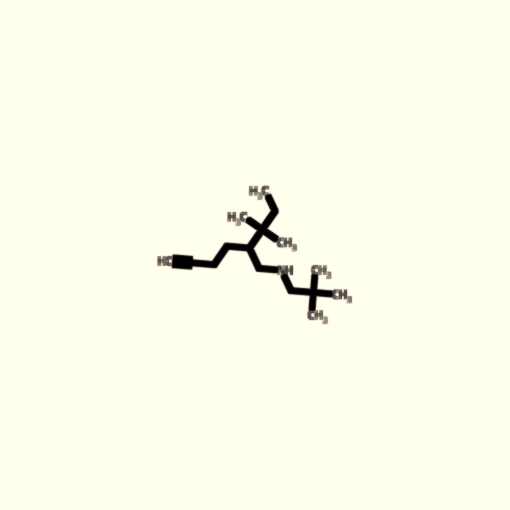 C#CCCC(CNCC(C)(C)C)C(C)(C)CC